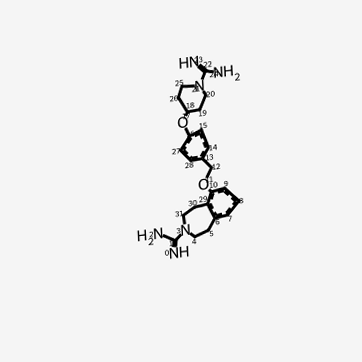 N=C(N)N1CCc2cccc(OCc3ccc(OC4CCN(C(=N)N)CC4)cc3)c2CC1